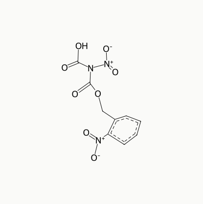 O=C(O)N(C(=O)OCc1ccccc1[N+](=O)[O-])[N+](=O)[O-]